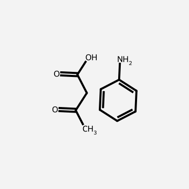 CC(=O)CC(=O)O.Nc1ccccc1